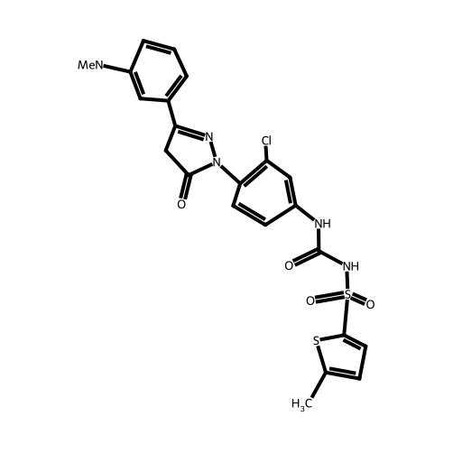 CNc1cccc(C2=NN(c3ccc(NC(=O)NS(=O)(=O)c4ccc(C)s4)cc3Cl)C(=O)C2)c1